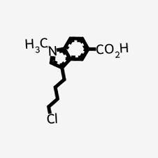 Cn1cc(CCCCCl)c2cc(C(=O)O)ccc21